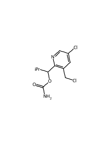 CC(C)C(OC(N)=O)c1ncc(Cl)cc1CCl